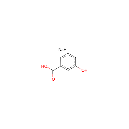 O=C(O)c1cccc(O)c1.[NaH]